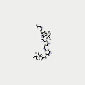 CC/C=C\C[C@@H](/C=C/C=C\C/C=C\C/C=C\C/C=C\CCC(=O)O[Si](C)(C)C(C)(C)C)O[Si](C)(C)C(C)(C)C